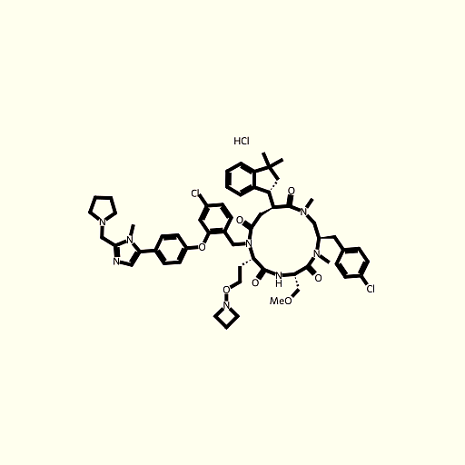 COC[C@@H]1NC(=O)[C@H](CCON2CCC2)N(Cc2ccc(Cl)cc2Oc2ccc(-c3cnc(CN4CCCC4)n3C)cc2)C(=O)C[C@@H]([C@H]2CC(C)(C)c3ccccc32)C(=O)N(C)C[C@@H](Cc2ccc(Cl)cc2)N(C)C1=O.Cl